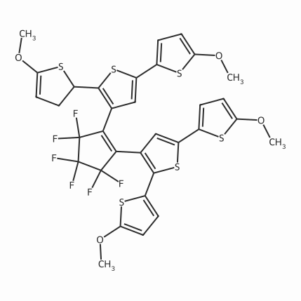 COC1=CCC(c2sc(-c3ccc(OC)s3)cc2C2=C(c3cc(-c4ccc(OC)s4)sc3-c3ccc(OC)s3)C(F)(F)C(F)(F)C2(F)F)S1